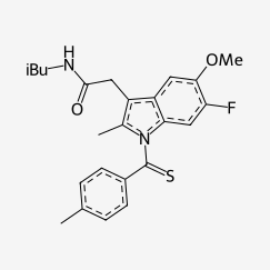 CCC(C)NC(=O)Cc1c(C)n(C(=S)c2ccc(C)cc2)c2cc(F)c(OC)cc12